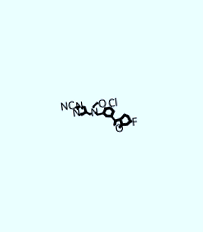 N#Cc1ncc(CN2CCOc3c(Cl)cc(-c4coc5cc(F)ccc45)cc3C2)cn1